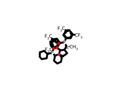 C[C@H](C1CCCC1c1ccccc1P(C1CCCCC1)C1CCCCC1)P(c1cc(C(F)(F)F)cc(C(F)(F)F)c1)c1cc(C(F)(F)F)cc(C(F)(F)F)c1